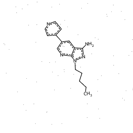 CCCCCn1nc(N)c2cc(-c3ccncc3)cnc21